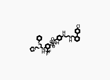 O=C(NS(=O)(=O)c1ccc(N[C@H](CCN2CCCC2)CSc2ccccc2)c(C(F)(F)F)c1)c1ccc(NCCNCc2ccccc2-c2ccc(Cl)cc2)cc1